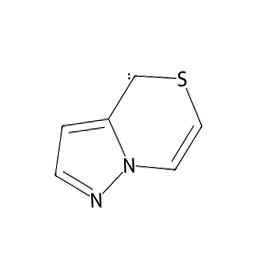 [C]1SC=Cn2nccc21